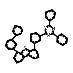 c1ccc(-c2cccc(-c3cccc4c3sc3c(-c5cccc(-c6nc(-c7ccccc7)nc(-c7ccccc7)n6)c5)cccc34)c2)cc1